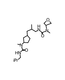 CC(C)CNC(=O)N(C)C1CCC(CC(C)CNC(=O)N(C)C2COC2)C1